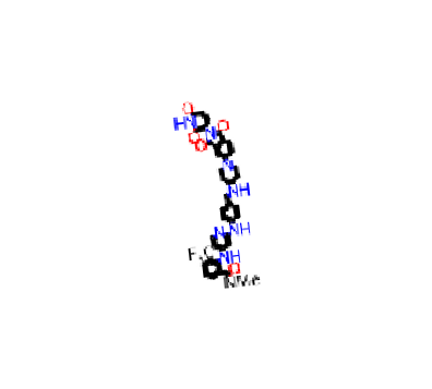 CNC(=O)c1ccccc1Nc1cc(Nc2ccc(CNC3CCN(c4ccc5c(c4)C(=O)N(C4CCC(=O)NC4=O)C5=O)CC3)cc2)ncc1C(F)(F)F